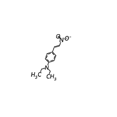 CCN(CC)c1ccc(/C=C/[N+](=O)[O-])cc1